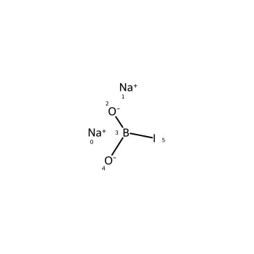 [Na+].[Na+].[O-]B([O-])I